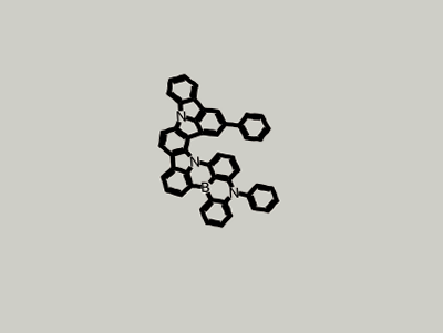 c1ccc(-c2cc3c4ccccc4n4c5ccc6c7cccc8c7n(c6c5c(c2)c34)-c2cccc3c2B8c2ccccc2N3c2ccccc2)cc1